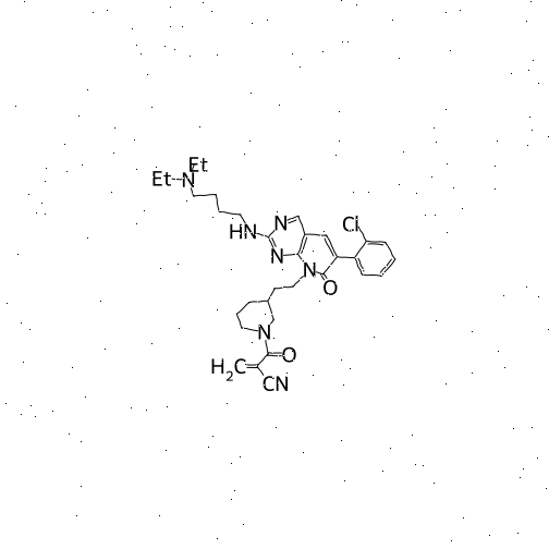 C=C(C#N)C(=O)N1CCCC(CCn2c(=O)c(-c3ccccc3Cl)cc3cnc(NCCCCN(CC)CC)nc32)C1